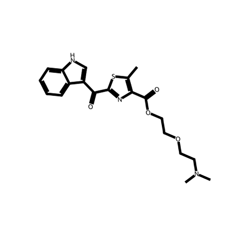 Cc1sc(C(=O)c2c[nH]c3ccccc23)nc1C(=O)OCCOCCN(C)C